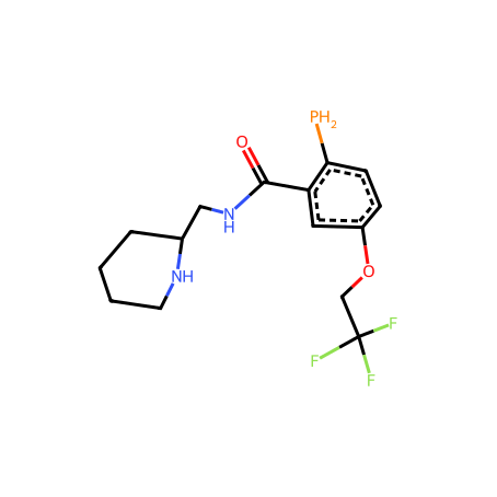 O=C(NCC1CCCCN1)c1cc(OCC(F)(F)F)ccc1P